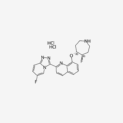 Cl.Cl.Fc1ccc2nnc(-c3ccc4cccc(O[C@@H]5CCNCC[C@H]5F)c4n3)n2c1